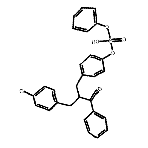 O=C(c1ccccc1)C(Cc1ccc(Cl)cc1)Cc1ccc(OP(=O)(O)Oc2ccccc2)cc1